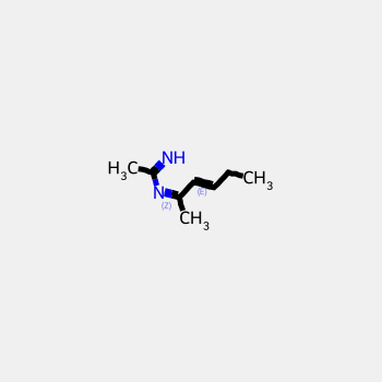 CC/C=C/C(C)=N\C(C)=N